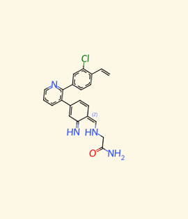 C=Cc1ccc(-c2ncccc2C2=CC(=N)/C(=C\NCC(N)=O)C=C2)cc1Cl